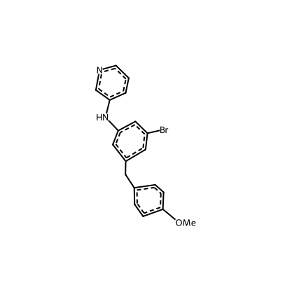 COc1ccc(Cc2cc(Br)cc(Nc3cccnc3)c2)cc1